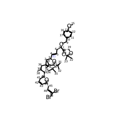 C=C(CC(/C=C/C[C@@H](OCc1ccc(OC)cc1)[C@@H]1COC(C)(C)O1)O[Si](C(C)C)(C(C)C)C(C)C)C[C@H](C)C[C@@H]1CC=C[C@@H](CC=C(Br)Br)O1